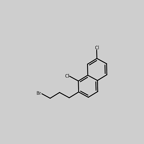 Clc1ccc2ccc(CCCBr)c(Cl)c2c1